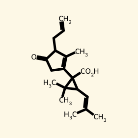 C=CCC1C(=O)CC(C2(C(=O)O)C(C=C(C)C)C2(C)C)=C1C